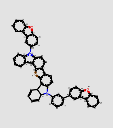 C1=CC2c3c(ccc4c3sc3c4ccc4c3c3ccccc3n4-c3ccc4oc5ccccc5c4c3)N(c3cccc(-c4ccc5oc6ccccc6c5c4)c3)C2C=C1